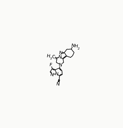 C[C@@H]1CN(c2ccc(C#N)n3ncc(F)c23)Cc2c3c(nn21)CC(N)CCC3